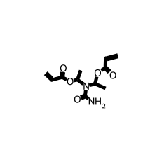 C=CC(=O)OC(C)N(C(N)=O)C(C)OC(=O)C=C